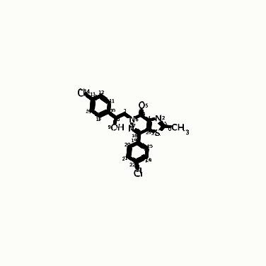 Cc1nc2c(=O)n(CC(O)c3ccc(Cl)cc3)nc(-c3ccc(Cl)cc3)c2s1